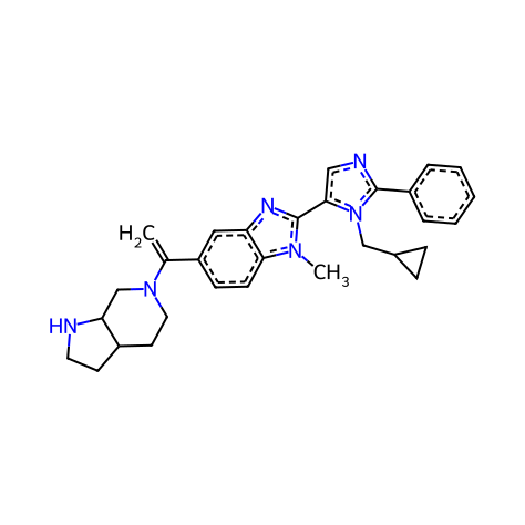 C=C(c1ccc2c(c1)nc(-c1cnc(-c3ccccc3)n1CC1CC1)n2C)N1CCC2CCNC2C1